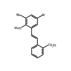 CCOC(=O)c1ccccc1/C=C/c1cc(Br)cc(C(C)(C)C)c1OC